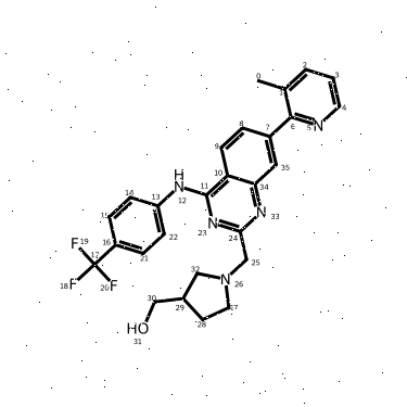 Cc1cccnc1-c1ccc2c(Nc3ccc(C(F)(F)F)cc3)nc(CN3CCC(CO)C3)nc2c1